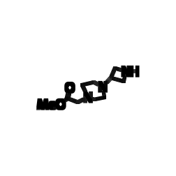 COC(=O)CN1CCN(C2CNC2)CC1